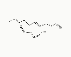 CC/C=C\CC=O.CCCCC/C=C/CCC=O